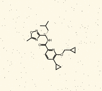 Cc1nc([C@H](CC(C)C)NC(=O)c2ccc(C3CC3)c(OCC3CC3)n2)no1